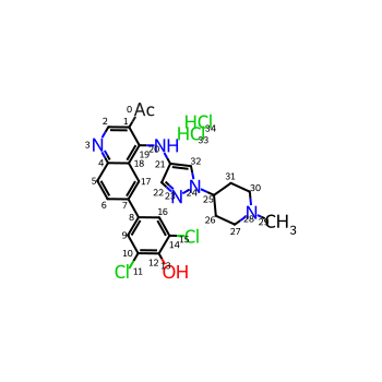 CC(=O)c1cnc2ccc(-c3cc(Cl)c(O)c(Cl)c3)cc2c1Nc1cnn(C2CCN(C)CC2)c1.Cl.Cl